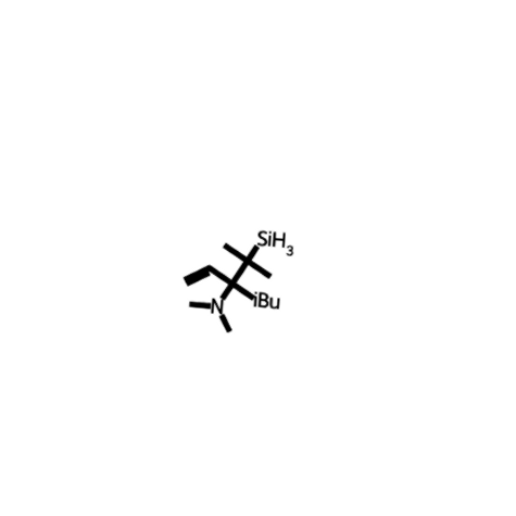 C=CC(C(C)CC)(N(C)C)C(C)(C)[SiH3]